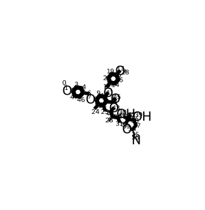 COc1ccc(COc2cc(OCc3ccc(OC)cc3)c3c(c2C)C[C@H]([C@H](C)[C@@H](O)C[C@H]2O[C@H](C#N)C[C@@H](O)C2(C)C)OC3=O)cc1